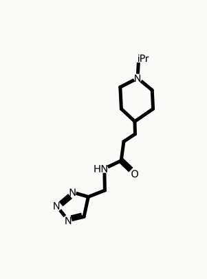 CC(C)N1CCC(CCC(=O)NCC2C=NN=N2)CC1